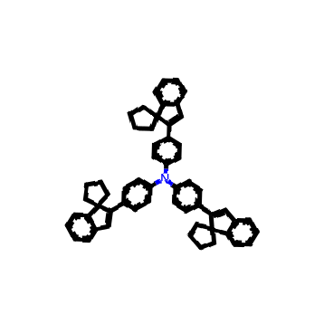 C1=C(c2ccc(N(c3ccc(C4=Cc5ccccc5C45CCCC5)cc3)c3ccc(C4=Cc5ccccc5C45CCCC5)cc3)cc2)C2(CCCC2)c2ccccc21